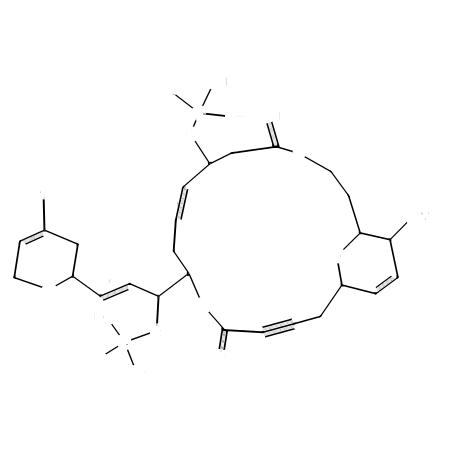 C=C1CCCC2OC(C=CC2OC)CC#CC(=O)OC(C(/C=C/C2CC(C)=CCO2)O[Si](C)(C)C(C)(C)C)C/C=C\C(O[Si](C)(C)C(C)(C)C)C1